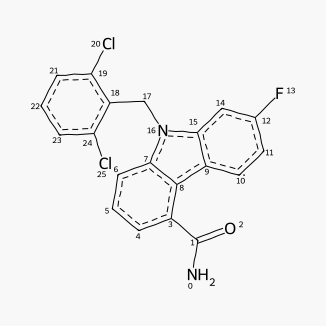 NC(=O)c1cccc2c1c1[c]cc(F)cc1n2Cc1c(Cl)cccc1Cl